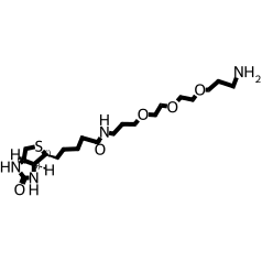 NCCCOCCOCCOCCCNC(=O)CCCC[C@@H]1SC[C@@H]2NC(=O)N[C@@H]21